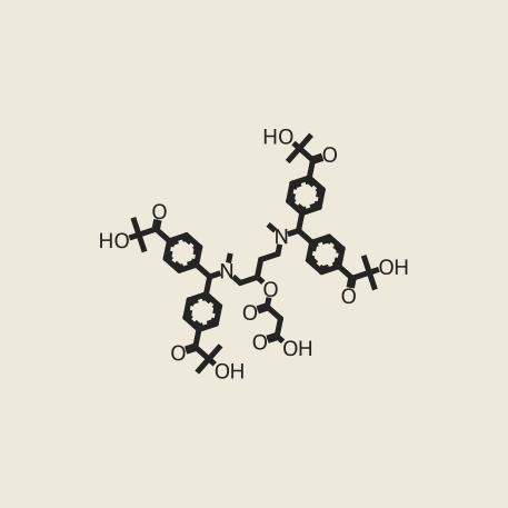 CN(CCC(CN(C)C(c1ccc(C(=O)C(C)(C)O)cc1)c1ccc(C(=O)C(C)(C)O)cc1)OC(=O)CC(=O)O)C(c1ccc(C(=O)C(C)(C)O)cc1)c1ccc(C(=O)C(C)(C)O)cc1